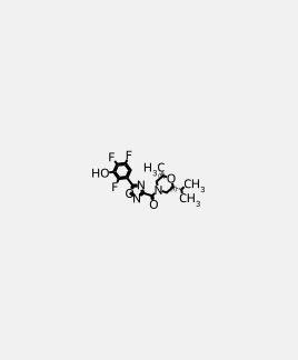 CC(C)[C@@H]1CN(C(=O)c2noc(-c3cc(F)c(F)c(O)c3F)n2)C[C@H](C)O1